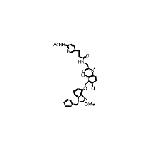 COc1nc2c(OCc3c(Cl)ccc(N(C)C(=O)CNC(=O)/C=C/c4ccc(NC(C)=O)nc4)c3Cl)cccc2n1Cc1ccccc1